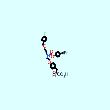 CCOC(Cc1ccc(OCCN(CCCOCc2ccc(F)cc2)C(=O)Oc2ccc(C(C)C)cc2)cc1)C(=O)O